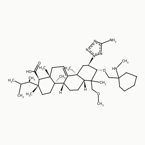 CNC1(CO[C@H]2[C@H](n3nnc(N)n3)C[C@]3(C)C4=CC[C@@]5(C)[C@H](C(=O)O)[C@@](C)([C@H](C)C(C)C)CC[C@]5(C)[C@H]4CC[C@H]3C2(C)COC)CCCCC1